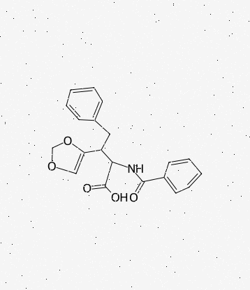 O=C(NC(C(=O)O)C(Cc1ccccc1)C1=COCO1)c1ccccc1